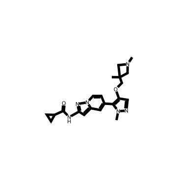 CN1CC(C)(COc2cnn(C)c2-c2ccn3nc(NC(=O)C4CC4)cc3c2)C1